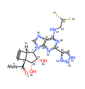 CNC(=O)[C@@]12C#C[C@@H]1[C@@H](n1cnc3c(NCC(F)F)nc(-c4c[nH]nn4)nc31)[C@H](O)[C@@H]2O